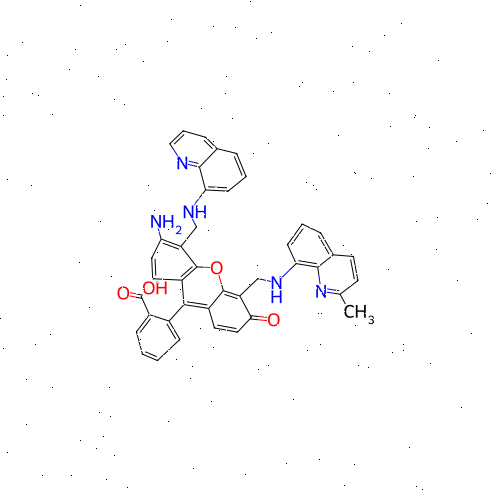 Cc1ccc2cccc(NCc3c4oc5c(CNc6cccc7cccnc67)c(N)ccc5c(-c5ccccc5C(=O)O)c-4ccc3=O)c2n1